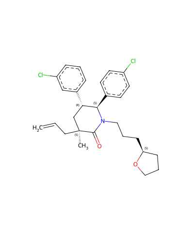 C=CC[C@@]1(C)C[C@H](c2cccc(Cl)c2)[C@@H](c2ccc(Cl)cc2)N(CCC[C@H]2CCCO2)C1=O